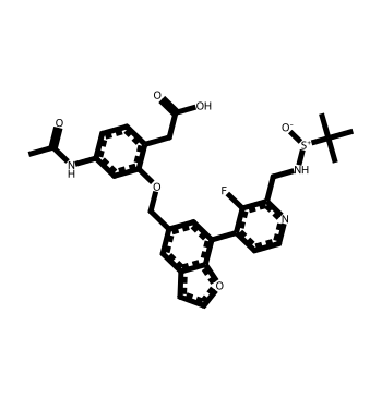 CC(=O)Nc1ccc(CC(=O)O)c(OCc2cc(-c3ccnc(CN[S+]([O-])C(C)(C)C)c3F)c3occc3c2)c1